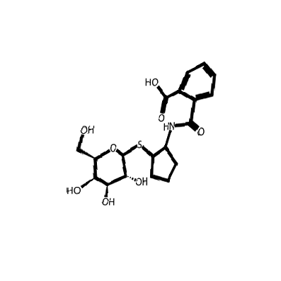 O=C(O)c1ccccc1C(=O)NC1CCCC1SC1O[C@H](CO)[C@H](O)[C@H](O)[C@H]1O